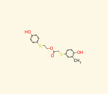 Cc1cc(SCC(=O)OCCSc2ccc(O)cc2)ccc1O